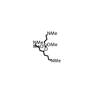 CNCCCC(CCCNC)O[Si](CCCNC)(OC)OC